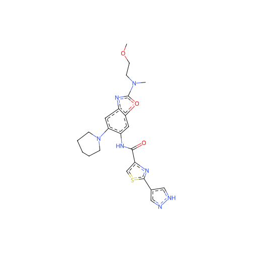 COCCN(C)c1nc2cc(N3CCCCC3)c(NC(=O)c3csc(-c4cn[nH]c4)n3)cc2o1